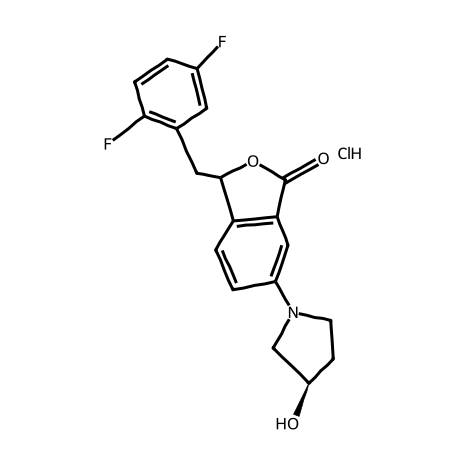 Cl.O=C1OC(Cc2cc(F)ccc2F)c2ccc(N3CC[C@@H](O)C3)cc21